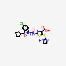 O=C(Nc1nc(C(=O)O)c(Sc2ncc[nH]2)s1)Nc1ccc(Cl)cc1C(=O)C1CCCC1